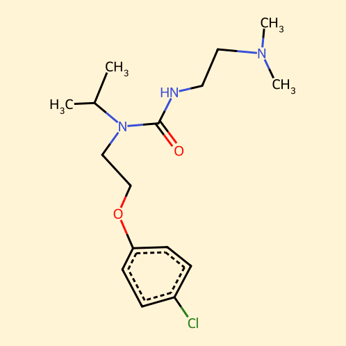 CC(C)N(CCOc1ccc(Cl)cc1)C(=O)NCCN(C)C